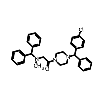 CN(CC(=O)N1CCN(C(c2ccccc2)c2ccc(Cl)cc2)CC1)C(c1ccccc1)c1ccccc1